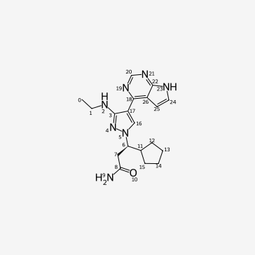 CCNc1nn([C@H](CC(N)=O)C2CCCC2)cc1-c1ncnc2[nH]ccc12